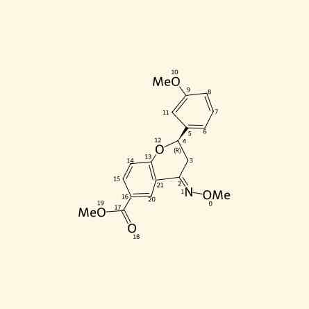 CON=C1C[C@H](c2cccc(OC)c2)Oc2ccc(C(=O)OC)cc21